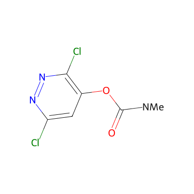 CNC(=O)Oc1cc(Cl)nnc1Cl